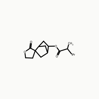 CC(C)C(C)C(=O)OC1CC2CC1CC21CCOC1=O